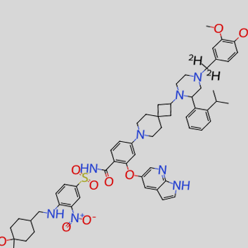 [2H]C([2H])(c1ccc(OC)c(OC)c1)N1CCN(C2CC3(CCN(c4ccc(C(=O)NS(=O)(=O)c5ccc(NCC6CCC(C)(O)CC6)c([N+](=O)[O-])c5)c(Oc5cnc6[nH]ccc6c5)c4)CC3)C2)C(c2ccccc2C(C)C)C1